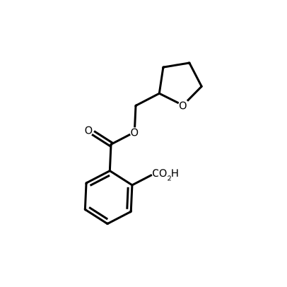 O=C(O)c1ccccc1C(=O)OCC1CCCO1